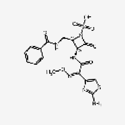 CON=C(C(=O)N[C@@H]1C(=O)N(S(=O)(=O)O)[C@@H]1CNC(=O)c1ccccc1)c1csc(N)n1